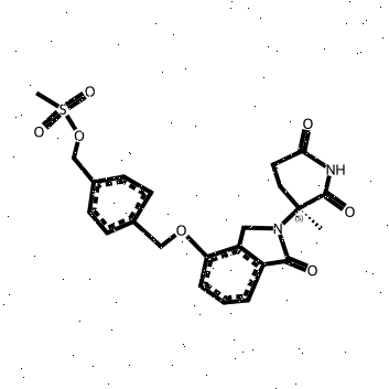 C[C@]1(N2Cc3c(OCc4ccc(COS(C)(=O)=O)cc4)cccc3C2=O)CCC(=O)NC1=O